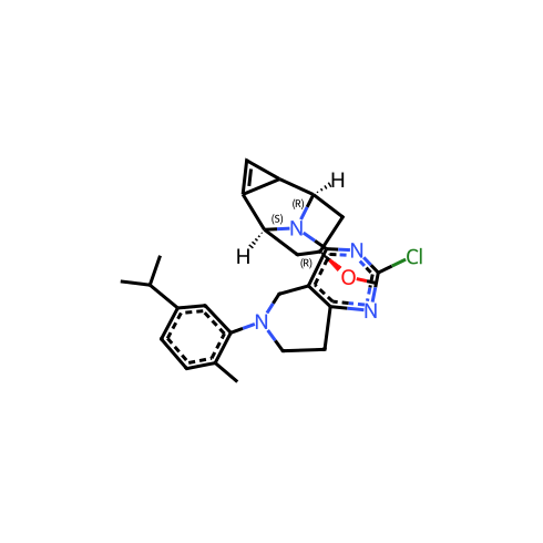 CO[C@@H]1C[C@@H]2C3C=C3[C@H](C1)N2c1nc(Cl)nc2c1CN(c1cc(C(C)C)ccc1C)CC2